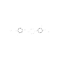 CCOCc1ccc(C2CCC(OCc3ccc(OC)c(F)c3F)CC2)cc1F